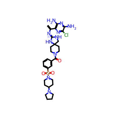 C=C(/N=C1\NCC2(CCN(C(=O)c3cccc(S(=O)(=O)N4CCC(N5CCCC5)CC4)c3)CC2)N1)c1nc(Cl)c(N)nc1N